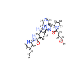 CCCc1ccnc(NC(=O)c2ccc(C3=NC(C4CCCN4C(=O)C=CCOC)=C4C=NC=C[N+]34N)cc2)c1